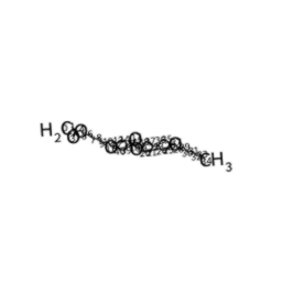 C=CC(=O)OCCCCCCOc1ccc(C(=O)Oc2ccc(C3CCC(OCCCCCCC)CC3)cc2)cc1